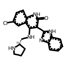 O=c1[nH]c2ccc(Cl)cc2c(NC[C@@H]2CCCN2)c1-c1nc2ccccc2[nH]1